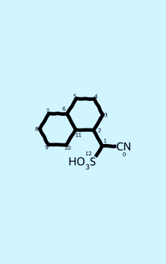 N#CC(C1CCCC2CCCCC21)S(=O)(=O)O